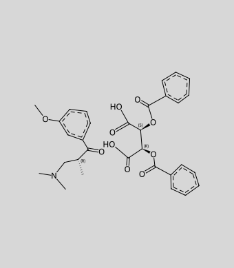 COc1cccc(C(=O)[C@H](C)CN(C)C)c1.O=C(O[C@H](C(=O)O)[C@@H](OC(=O)c1ccccc1)C(=O)O)c1ccccc1